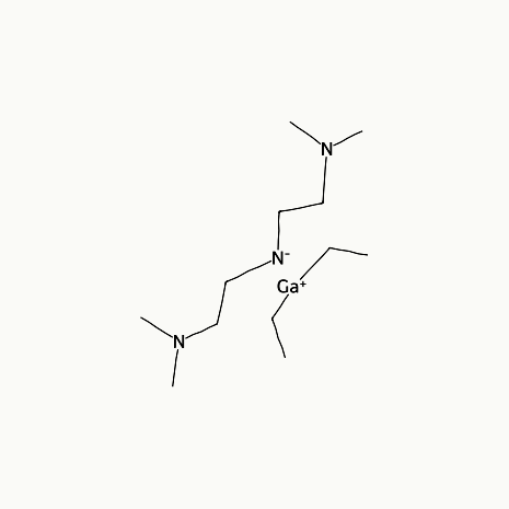 CN(C)CC[N-]CCN(C)C.C[CH2][Ga+][CH2]C